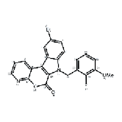 CCc1ccc2c(c1)c1c3cccnc3oc(=O)c1n2Cc1cccc(OC)c1F